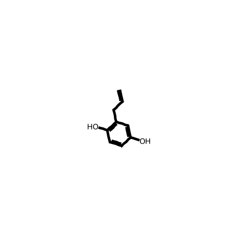 C=CCc1cc(O)[c]cc1O